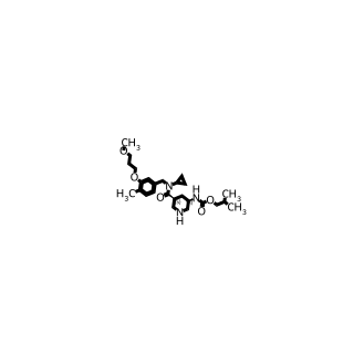 COCCCOc1cc(CN(C(=O)[C@@H]2CNC[C@H](NC(=O)OCC(C)C)C2)C2CC2)ccc1C